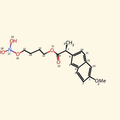 COc1ccc2cc([C@H](C)C(=O)OCCCCON(O)O)ccc2c1